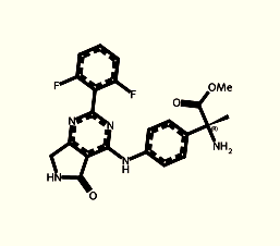 COC(=O)[C@](C)(N)c1ccc(Nc2nc(-c3c(F)cccc3F)nc3c2C(=O)NC3)cc1